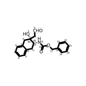 O=CC[C@]1(O)Cc2ccccc2C[C@H]1NC(=O)OCc1ccccc1